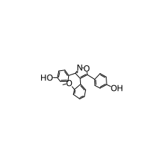 COc1ccccc1-c1c(-c2ccc(O)cc2)noc1-c1ccc(O)cc1